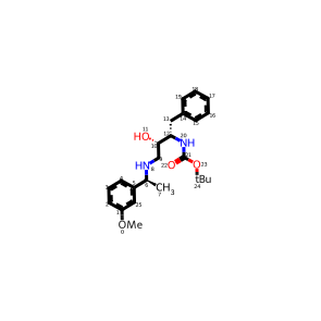 COc1cccc([C@H](C)NC[C@H](O)[C@H](Cc2ccccc2)NC(=O)OC(C)(C)C)c1